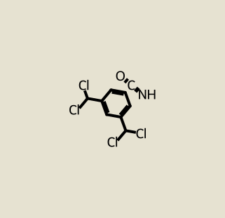 ClC(Cl)c1cccc(C(Cl)Cl)c1.N=C=O